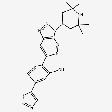 CC1(C)CC(n2nnc3cc(-c4ccc(-c5cncs5)cc4O)nnc32)CC(C)(C)N1